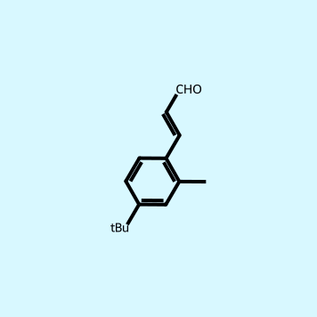 Cc1cc(C(C)(C)C)ccc1/C=C/C=O